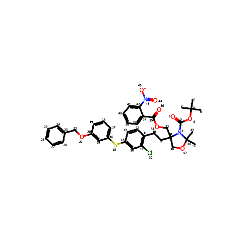 CC(C)(C)OC(=O)N1C(CCc2ccc(Sc3cccc(OCc4ccccc4)c3)cc2Cl)(COC(=O)c2ccccc2[N+](=O)[O-])COC1(C)C